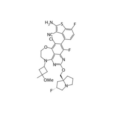 COC1(C)CC(N2CCOc3c(Cl)c(-c4ccc(F)c5sc(N)c(C#N)c45)c(F)c4nc(OC[C@@]56CCCN5C[C@H](F)C6)nc2c34)C1